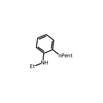 [CH2]CNc1ccccc1CCCCC